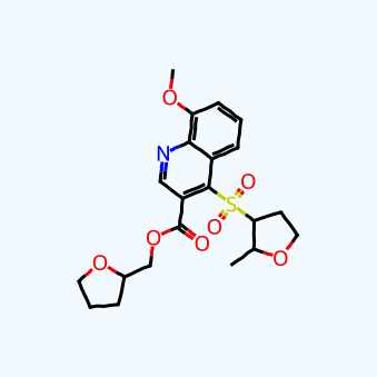 COc1cccc2c(S(=O)(=O)C3CCOC3C)c(C(=O)OCC3CCCO3)cnc12